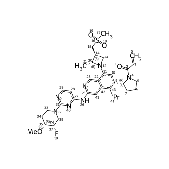 C=CC(=O)N1CCC[C@@H]1c1cc(N2C[C@H](CS(C)(=O)=O)[C@H]2C)c2cnc(Nc3ccnc(N4CC[C@@H](OC)[C@@H](F)C4)n3)cc2c1C(C)C